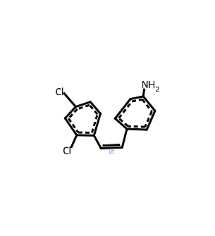 Nc1ccc(/C=C\c2ccc(Cl)cc2Cl)cc1